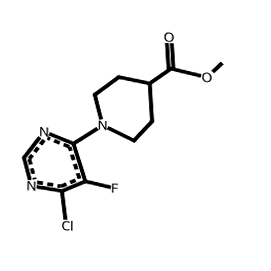 COC(=O)C1CCN(c2ncnc(Cl)c2F)CC1